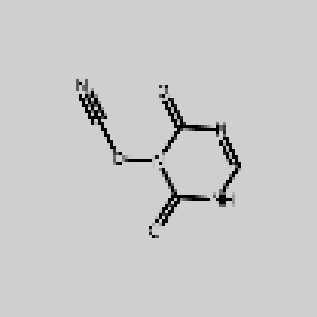 N#COn1c(=O)nc[nH]c1=O